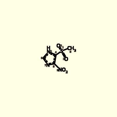 CS(=O)(=O)c1[nH]cnc1[N+](=O)[O-]